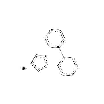 Br.c1ccc(-c2ccccc2)cc1.c1cscn1